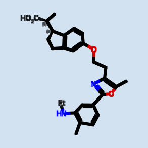 CCNc1cc(-c2nc(CCOc3ccc4c(c3)CC[C@H]4[C@H](C)C(=O)O)c(C)o2)ccc1C